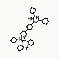 CC1(C)c2ccccc2-c2c(n(-c3ccccc3)c3ccc(-c4ccc(C5=CC(c6ccccc6)=NC(c6ccccc6)N5)cc4)cc23)-c2ccccc21